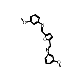 COc1cccc(N=Cc2ccc(C=Nc3cccc(OC)c3)o2)c1